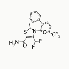 CC1SC(C(N)=O)=C(C(F)F)N1c1cc(C(F)(F)F)ccc1-c1ccccc1